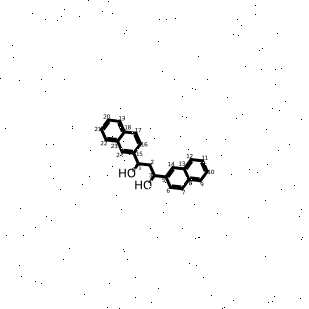 OC(CC(O)c1ccc2ccccc2c1)c1ccc2ccccc2c1